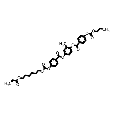 C=CC(=O)OCCCCCCOC(=O)Oc1ccc(C(=O)Oc2ccc(OC(=O)c3ccc(OC(=O)OCCC)cc3)c(C)c2)cc1